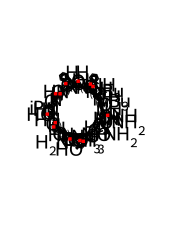 CCCC[C@H]1C(=O)N(C)[C@@H](CCCC)C(=O)N[C@@H](CCCNC(=N)N)C(=O)NC(C(=O)NCC(N)=O)CSCC(=O)N[C@@H](Cc2ccc(O)cc2)C(=O)N(C)[C@@H](C)C(=O)N[C@@H](CC(N)=O)C(=O)N2CCC[C@H]2C(=O)N[C@@H](CO)C(=O)N[C@@H](CC(C)C)C(=O)N2CCC[C@H]2C(=O)N[C@@H](Cc2c[nH]c3ccccc23)C(=O)N[C@@H](CO)C(=O)N[C@@H](Cc2c[nH]c3ccccc23)C(=O)N1C